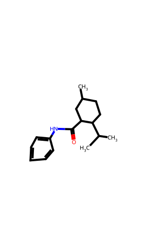 CC1CCC(C(C)C)C(C(=O)Nc2ccccc2)C1